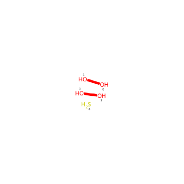 OO.OO.S